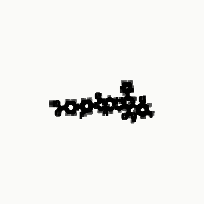 COC(=O)C1=C(CN2CCN3C(=O)N(c4ccc(N5CCC(C(=O)O)CC5)c(F)c4)C[C@@H]3C2)NC(c2nccs2)=N[C@H]1c1ccc(F)cc1Cl